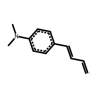 [CH]=CC=Cc1ccc(N(C)C)cc1